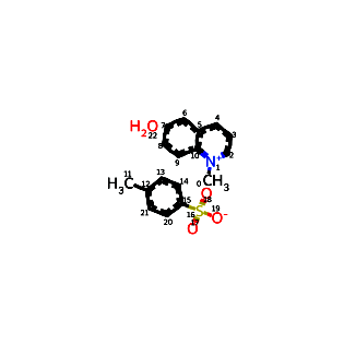 C[n+]1cccc2ccccc21.Cc1ccc(S(=O)(=O)[O-])cc1.O